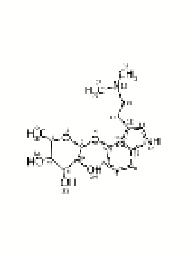 CC1OC(Oc2cccc3[nH]cc(CCN(C)C)c23)C(O)C(O)C1O